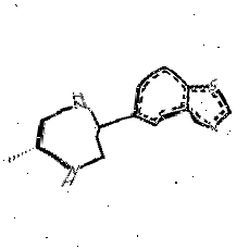 C[C@@H]1CNC(c2ccc3scnc3c2)CN1